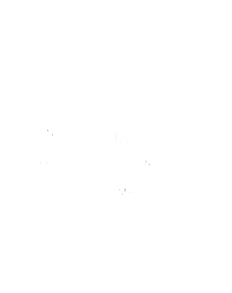 COc1nc(-c2cccc(-c3cccc(-c4cnc5oc(C=O)cc5c4)c3Cl)c2Cl)ccc1C=O